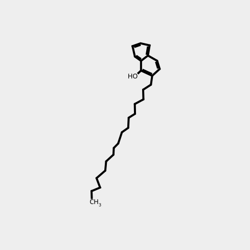 CCCCCCCCCCCCCCCCCc1ccc2ccccc2c1O